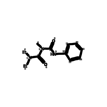 CCN(CC)C(=O)N(C)C(=O)Nc1ccccc1